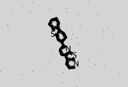 c1ccc2c(c1)sc1cc(-c3ccc4c(n3)sc3ncccc34)ccc12